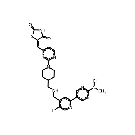 CN(C)c1ncc(-c2cc(CNCC3CCN(c4nccc(/C=C5/SC(=O)NC5=O)n4)CC3)c(F)cn2)cn1